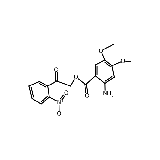 COc1cc(N)c(C(=O)OCC(=O)c2ccccc2[N+](=O)[O-])cc1OC